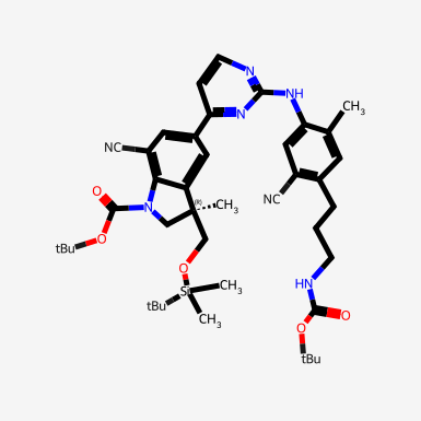 Cc1cc(CCCNC(=O)OC(C)(C)C)c(C#N)cc1Nc1nccc(-c2cc(C#N)c3c(c2)[C@@](C)(CO[Si](C)(C)C(C)(C)C)CN3C(=O)OC(C)(C)C)n1